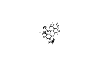 CC(c1cccc2ccccc12)C(Cc1cccc(C(F)(F)F)c1)C(N)=O